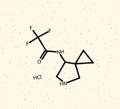 Cl.O=C(NC1CNCC12CC2)C(F)(F)F